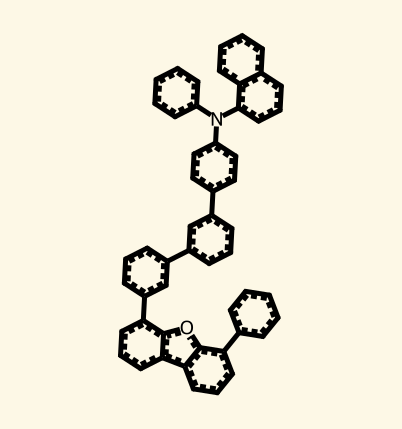 c1ccc(-c2cccc3c2oc2c(-c4cccc(-c5cccc(-c6ccc(N(c7ccccc7)c7cccc8ccccc78)cc6)c5)c4)cccc23)cc1